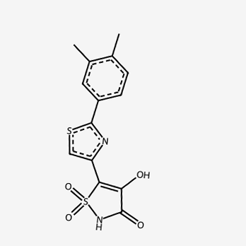 Cc1ccc(-c2nc(C3=C(O)C(=O)NS3(=O)=O)cs2)cc1C